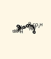 CC(C)(C)OC(=O)n1c(NC2CCN(c3ccc(C(=O)NC[C@H](NC(=O)OCc4ccccc4)C(=O)O)cc3)CC2)nc2ccccc21